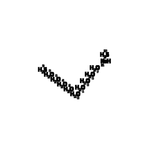 O.O.O.O.O.O.O.O.O.S.S.[NaH]